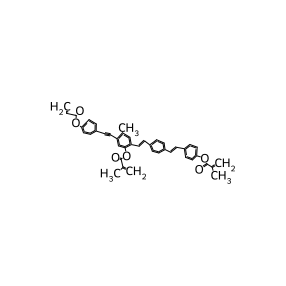 C=CC(=O)Oc1ccc(C#Cc2cc(OC(=O)C(=C)C)c(/C=C/c3ccc(/C=C/c4ccc(OC(=O)C(=C)C)cc4)cc3)cc2C)cc1